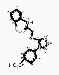 O=C(CSc1nnnn1-c1ccc(C(=O)O)cc1)Nc1ccccc1F